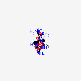 CC(C)[C@H](NC(=O)[C@@H]1CCCN1C(=O)[C@H](Cc1c[nH]c2ccccc12)NC(=O)[C@H](CCCN=C(N)N)NC(=O)CN)C(=O)N[C@@H](CCCCN)C(=O)N[C@H](C(N)=O)[C@@H](C)O